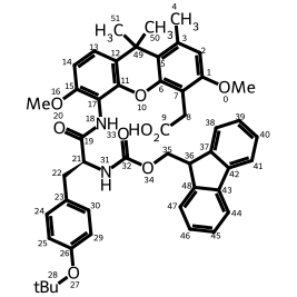 COc1cc(C)c2c(c1CC(=O)O)Oc1c(ccc(OC)c1NC(=O)[C@H](Cc1ccc(OC(C)(C)C)cc1)NC(=O)OCC1c3ccccc3-c3ccccc31)C2(C)C